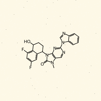 Cn1c(=O)n(C2CCC(O)c3c(F)cc(F)cc32)c2nc(-n3cnc4ccccc43)ncc21